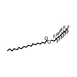 CCCCCCCCCCCCCCCCCC(=O)OCCC(F)(F)C(F)(F)C(F)(F)C(F)(F)C(F)(F)C(F)(F)F